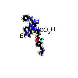 CCN(C(C)CCN(c1cc(C)c(Nc2nc3ccccc3s2)nn1)c1nc(C(=O)O)c(CCCOc2ccc(C#CCN(C)C)cc2F)s1)N1CCCCC1